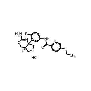 Cl.NC1=NC2(c3cc(NC(=O)c4ccc(OCC(F)(F)F)cn4)ccc3F)COCC2(F)CO1